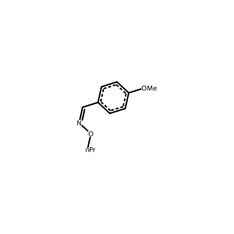 CCCO/N=[C]\c1ccc(OC)cc1